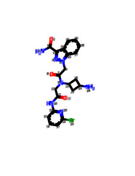 NC(=O)c1nn(CC(=O)N(CC(=O)Nc2cccc(Br)n2)C2CC(N)C2)c2ccccc12